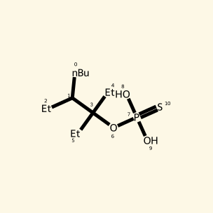 CCCCC(CC)C(CC)(CC)OP(O)(O)=S